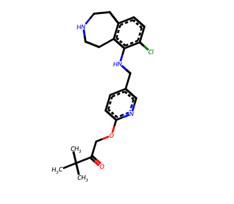 CC(C)(C)C(=O)COc1ccc(CNc2c(Cl)ccc3c2CCNCC3)cn1